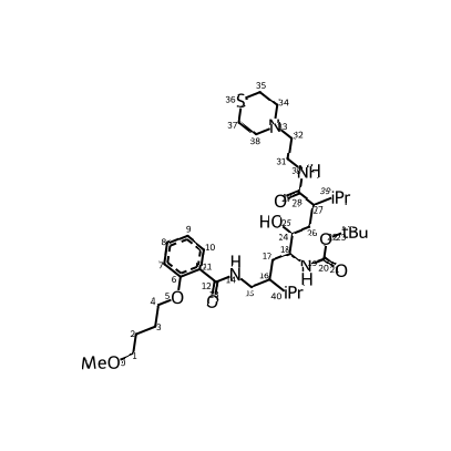 COCCCCOc1ccccc1C(=O)NCC(CC(NC(=O)OC(C)(C)C)C(O)CC(C(=O)NCCN1CCSCC1)C(C)C)C(C)C